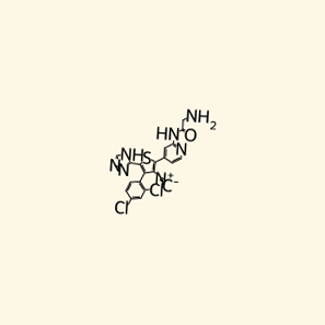 [C-]#[N+]c1c(-c2ccnc(NC(=O)CN)c2)sc(-c2nnc[nH]2)c1-c1ccc(Cl)cc1Cl